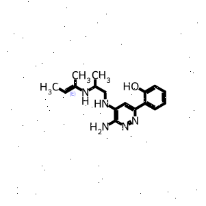 C/C=C(\C)NC(C)CNc1cc(-c2ccccc2O)nnc1N